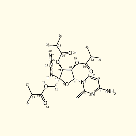 C=C1N=C(N)C=CN1[C@@H]1O[C@@](COC(=O)C(C)C)(N=[N+]=[N-])[C@@H](OC(=O)C(C)C)[C@H]1OC(=O)C(C)C